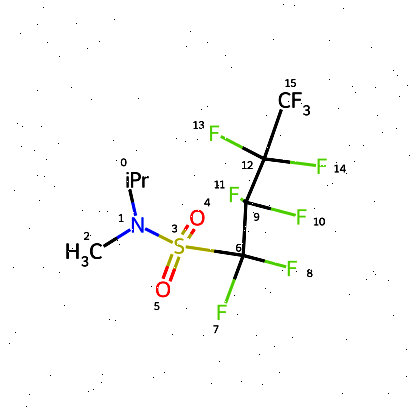 CC(C)N(C)S(=O)(=O)C(F)(F)C(F)(F)C(F)(F)C(F)(F)F